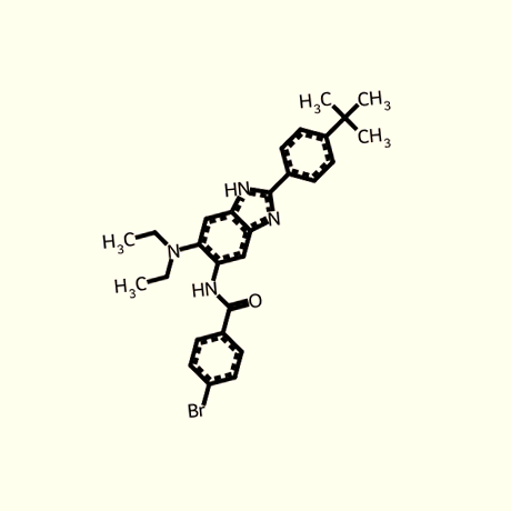 CCN(CC)c1cc2[nH]c(-c3ccc(C(C)(C)C)cc3)nc2cc1NC(=O)c1ccc(Br)cc1